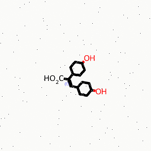 O=C(O)/C(=C/C1CCC(O)CC1)C1CCC(O)CC1